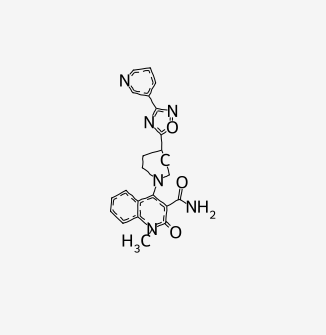 Cn1c(=O)c(C(N)=O)c(N2CCC(c3nc(-c4cccnc4)no3)CC2)c2ccccc21